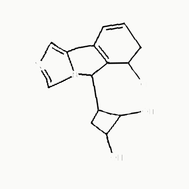 CC1CC=CC2=C1C(C1CC(O)C1O)n1cncc12